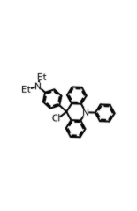 CCN(CC)c1ccc(C2(Cl)c3ccccc3N(c3ccccc3)c3ccccc32)cc1